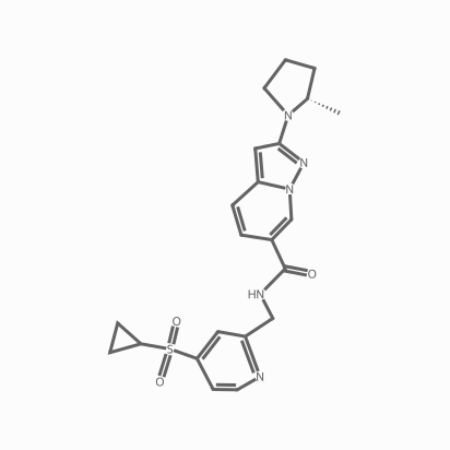 C[C@H]1CCCN1c1cc2ccc(C(=O)NCc3cc(S(=O)(=O)C4CC4)ccn3)cn2n1